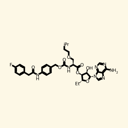 CC[C@H]1O[C@@H](n2cnc3c(N)ncnc32)[C@H](O)[C@@H]1OC(=O)[C@H](COCCC(C)C)NC(=O)OCc1ccc(NC(=O)Cc2ccc(F)cc2)cc1